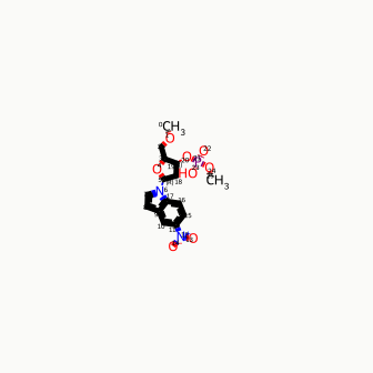 COCC1O[C@@H](n2ccc3cc([N+](=O)[O-])ccc32)C[C@H]1OP(=O)(O)OC